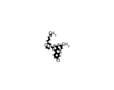 COCCC[C@H]1CN(c2nc(-c3ccc(Cl)cc3F)c3ncc(C)nc3n2)CCO1